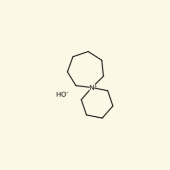 C1CCC[N+]2(CC1)CCCCC2.[OH-]